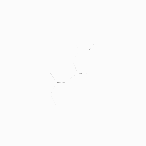 CCC(C)OC(C)CN(C)CC